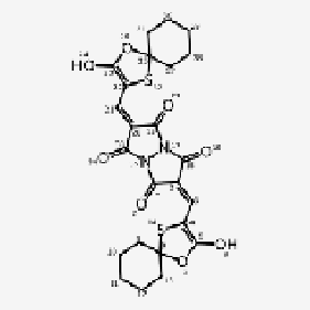 O=c1c(=CC2=C(O)OC3(CCCCC3)S2)c(=O)n2c(=O)c(=CC3=C(O)OC4(CCCCC4)S3)c(=O)n1-2